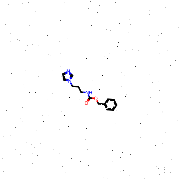 O=C(NCCCn1ccnc1)OCc1ccccc1